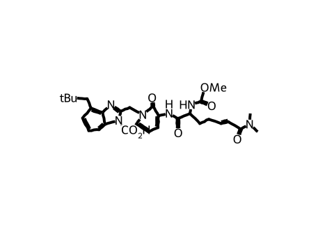 COC(=O)NC(CCC=CC(=O)N(C)C)C(=O)Nc1cccn(Cc2nc3c(CC(C)(C)C)cccc3n2C(=O)O)c1=O